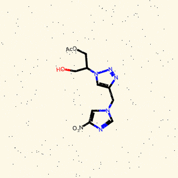 CC(=O)OCC(CO)n1cc(Cn2cnc([N+](=O)[O-])c2)nn1